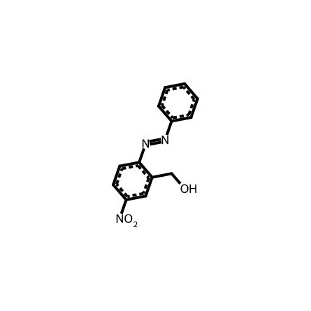 O=[N+]([O-])c1ccc(N=Nc2ccccc2)c(CO)c1